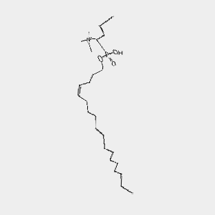 CCCCCCCCCCCCC/C=C\CCCOP(=O)(O)C(CCC)[N+](C)(C)C